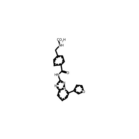 O=C(O)NCc1ccc(C(=O)Nc2nc3cccc(-c4ccoc4)n3n2)cc1